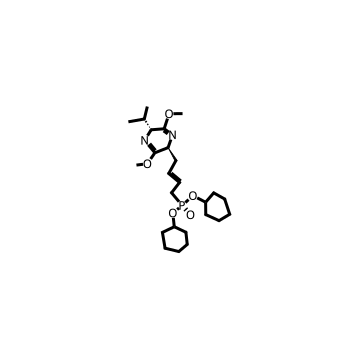 COC1=N[C@H](C(C)C)C(OC)=N[C@H]1CC=CCP(=O)(OC1CCCCC1)OC1CCCCC1